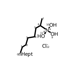 CCCCCCCCCCCCC(C)[N+](O)(O)O.[Cl-]